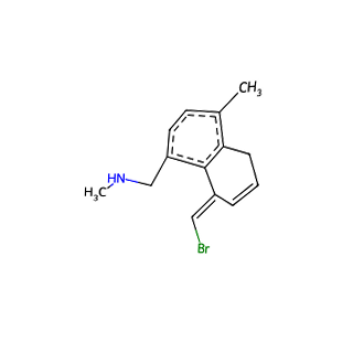 CNCc1ccc(C)c2c1/C(=C/Br)C=CC2